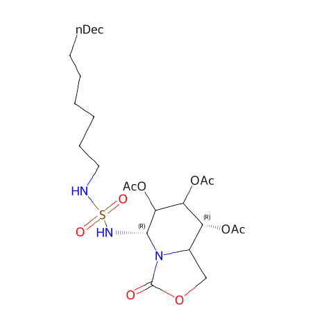 CCCCCCCCCCCCCCCCNS(=O)(=O)N[C@@H]1C(OC(C)=O)C(OC(C)=O)[C@H](OC(C)=O)C2COC(=O)N21